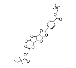 CCC(C)(C)C(=O)OCC(=O)OC1C(=O)OC2C3OC(c4ccc(C(=O)OC[Si](C)(C)C)cc4)OC3OC12